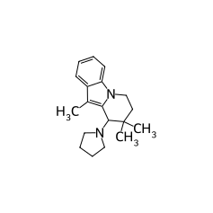 Cc1c2n(c3ccccc13)CCC(C)(C)C2N1CCCC1